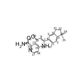 Cc1cc2c(cc1-c1cc(=O)c3c(C(N)=O)nccc3[nH]1)CCC2(C)C